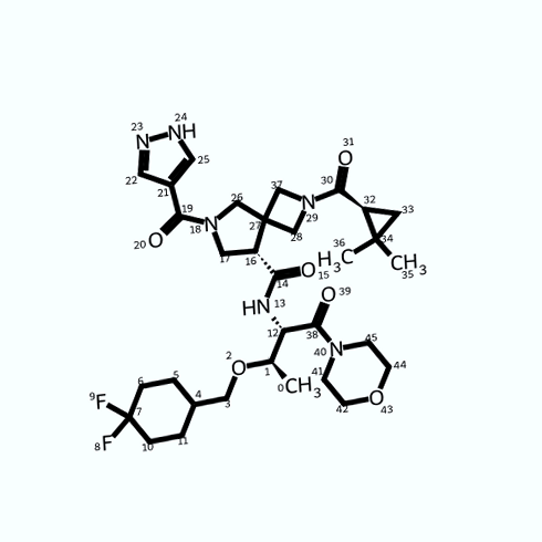 C[C@@H](OCC1CCC(F)(F)CC1)[C@H](NC(=O)[C@@H]1CN(C(=O)c2cn[nH]c2)CC12CN(C(=O)[C@H]1CC1(C)C)C2)C(=O)N1CCOCC1